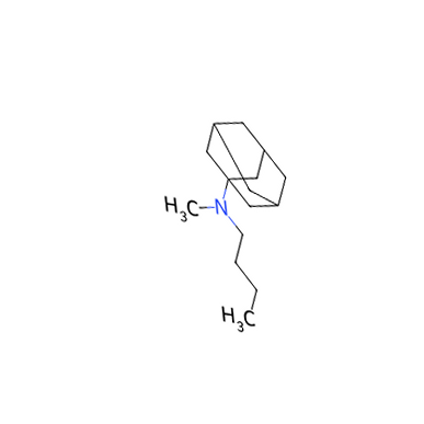 CCCCN(C)C12CC3CC(CC(C3)C1)C2